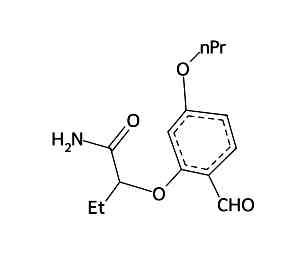 CCCOc1ccc(C=O)c(OC(CC)C(N)=O)c1